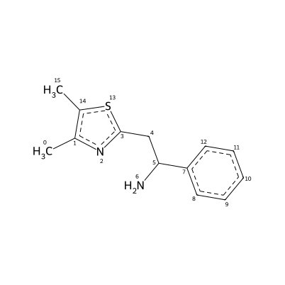 Cc1nc(CC(N)c2ccccc2)sc1C